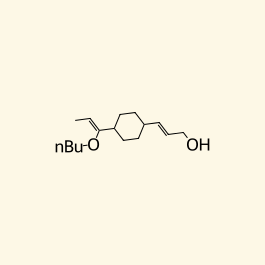 CC=C(OCCCC)C1CCC(/C=C/CO)CC1